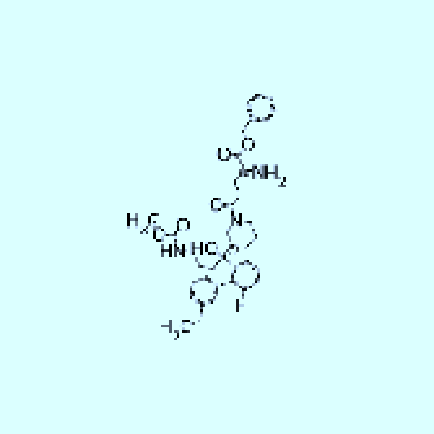 CCc1cccc(-c2c(F)cccc2C(O)(CCCNC(=O)OC)[C@@H]2CCCN(C(=O)CC[C@H](N)C(=O)OCc3ccccc3)C2)c1